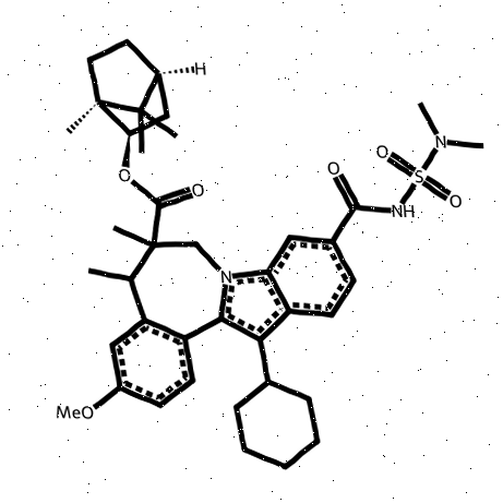 COc1ccc2c(c1)C(C)C(C)(C(=O)O[C@@H]1C[C@@H]3CC[C@@]1(C)C3(C)C)Cn1c-2c(C2CCCCC2)c2ccc(C(=O)NS(=O)(=O)N(C)C)cc21